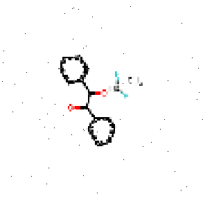 C.FBF.O=C(C(=O)c1ccccc1)c1ccccc1